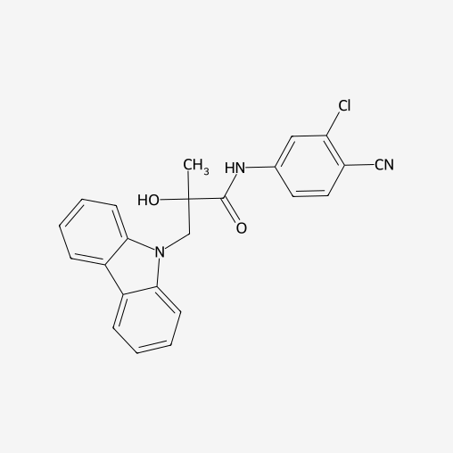 CC(O)(Cn1c2ccccc2c2ccccc21)C(=O)Nc1ccc(C#N)c(Cl)c1